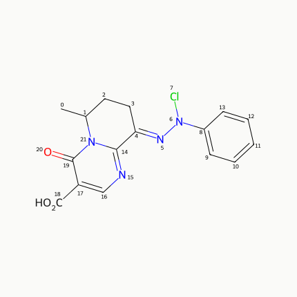 CC1CCC(=NN(Cl)c2ccccc2)c2ncc(C(=O)O)c(=O)n21